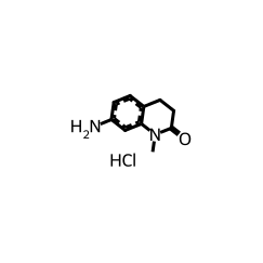 CN1C(=O)CCc2ccc(N)cc21.Cl